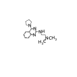 CN(C)CCNc1nc(N2CCCC2)c2ccccc2n1